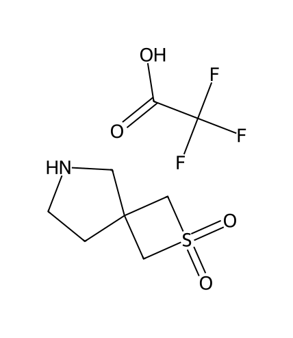 O=C(O)C(F)(F)F.O=S1(=O)CC2(CCNC2)C1